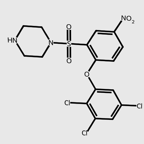 O=[N+]([O-])c1ccc(Oc2cc(Cl)cc(Cl)c2Cl)c(S(=O)(=O)N2CCNCC2)c1